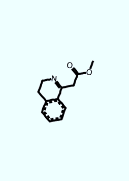 COC(=O)CC1=NCCc2ccccc21